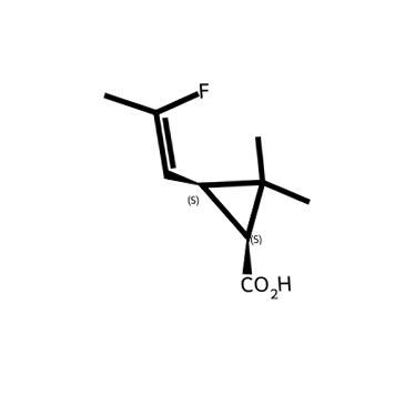 CC(F)=C[C@@H]1[C@H](C(=O)O)C1(C)C